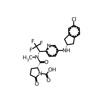 CN(C(=O)[C@H]1CCC(=O)N1C(=O)O)[C@@H](c1ccc(N[C@H]2Cc3ccc(Cl)cc3C2)cn1)C(F)(F)F